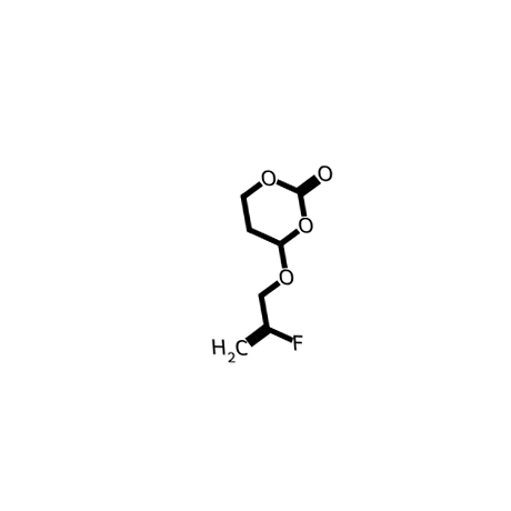 C=C(F)COC1CCOC(=O)O1